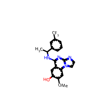 COc1cc2c(cc1O)c(NC(C)c1cccc(C(F)(F)F)c1)nc1nccn12